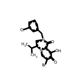 CC(C)c1cn(Cc2cccc(Cl)c2)c(=O)c2c(O)c(=O)c(Br)cn12